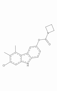 Cc1c(Cl)cc2[nH]c3ccc(OC(=O)N4CCC4)cc3c2c1C